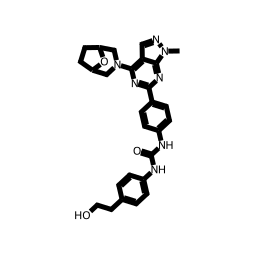 Cn1ncc2c(N3CC4CCC(C3)O4)nc(-c3ccc(NC(=O)Nc4ccc(CCO)cc4)cc3)nc21